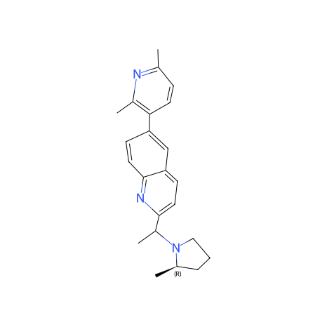 Cc1ccc(-c2ccc3nc(C(C)N4CCC[C@H]4C)ccc3c2)c(C)n1